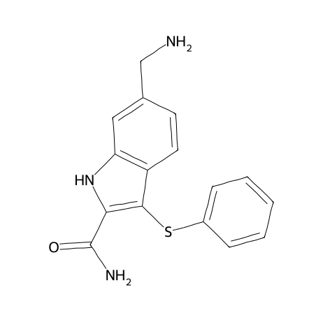 NCc1ccc2c(Sc3ccccc3)c(C(N)=O)[nH]c2c1